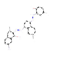 Nc1ccc2cc(S(=O)(=O)O)c(N=Nc3ccc(N=Nc4cc(S(=O)(=O)O)ccc4O)c4ccc(S(=O)(=O)O)cc34)c(O)c2c1